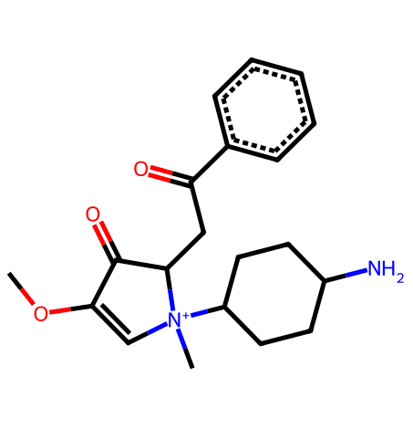 COC1=C[N+](C)(C2CCC(N)CC2)C(CC(=O)c2ccccc2)C1=O